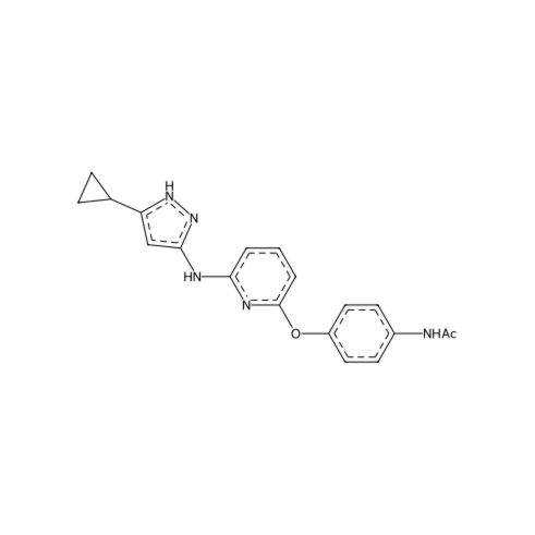 CC(=O)Nc1ccc(Oc2cccc(Nc3cc(C4CC4)[nH]n3)n2)cc1